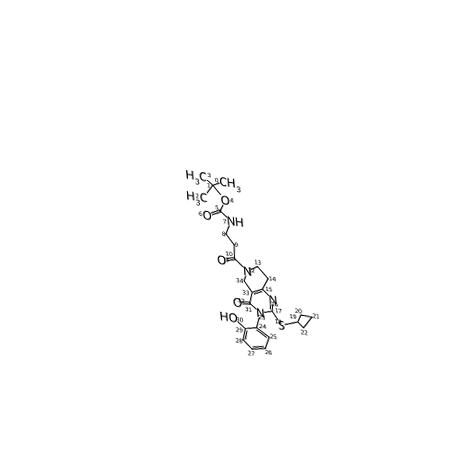 CC(C)(C)OC(=O)NCCC(=O)N1CCc2nc(SC3CCC3)n(-c3ccccc3O)c(=O)c2C1